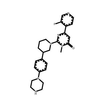 Cn1c(N2CCCC(c3ccc(N4CCNCC4)cc3)C2)nc(-c2ccncc2F)cc1=O